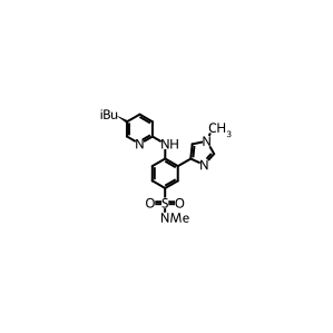 CC[C@H](C)c1ccc(Nc2ccc(S(=O)(=O)NC)cc2-c2cn(C)cn2)nc1